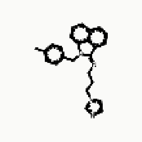 Cc1ccc(CN2C(=NCCCn3ccnc3)c3cccc4cccc2c34)cc1